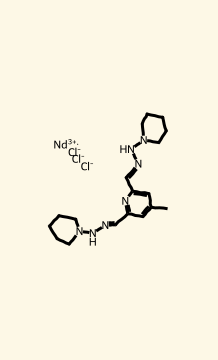 Cc1cc(C=NNN2CCCCC2)nc(C=NNN2CCCCC2)c1.[Cl-].[Cl-].[Cl-].[Nd+3]